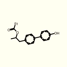 CCC(=O)OC(C)Cc1ccc(-c2ccc(O)cc2)cc1